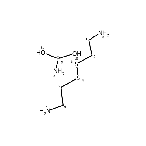 NCCSSCCN.NP(O)O